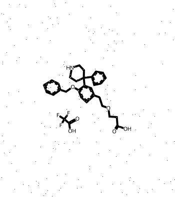 O=C(O)C(F)(F)F.O=C(O)CCOCCc1ccc(OCc2ccccc2)c(C2(c3ccccc3)CCNCC2)c1